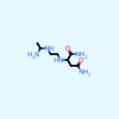 CC(N)NCCNC(CC(N)=O)C(N)=O